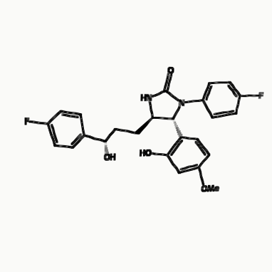 COc1ccc([C@@H]2[C@@H](CC[C@H](O)c3ccc(F)cc3)NC(=O)N2c2ccc(F)cc2)c(O)c1